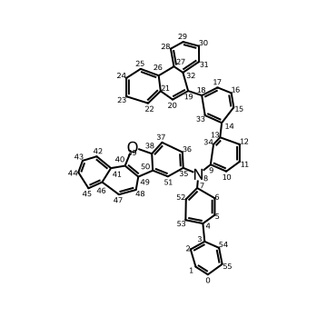 c1ccc(-c2ccc(N(c3cccc(-c4cccc(-c5cc6ccccc6c6ccccc56)c4)c3)c3ccc4oc5c6ccccc6ccc5c4c3)cc2)cc1